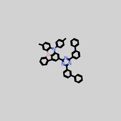 Cc1ccc(N2c3ccc(C)cc3B3c4ccccc4-c4cc(-c5nc(-c6cccc(-c7ccccc7)c6)nc(-c6cccc(-c7ccccc7)c6)n5)cc2c43)cc1